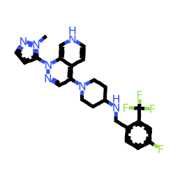 Cn1nccc1N1N=CC(N2CCC(NCc3ccc(F)cc3C(F)(F)F)CC2)=C2C=CNC=C21